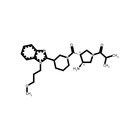 COCCCn1c(C2CCCN(C(=O)[C@@H]3CN(C(=O)C(C)C)C[C@H]3N)C2)nc2ccccc21